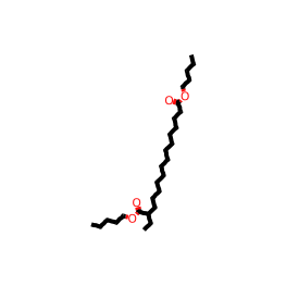 CCCCCOC(=O)CCCCCCCCCCCCCC(CC)C(=O)OCCCCC